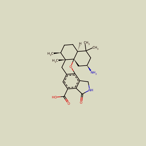 C[C@H]1CC[C@H]2C(C)(C)C[C@@H](N)C[C@]23Oc2c(cc(C(=O)O)c4c2CNC4=O)C[C@]13C